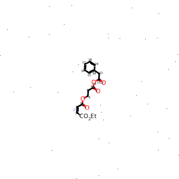 CCOC(=O)/C=C\C(=O)OCCC(=O)OC(=O)Cc1ccccc1